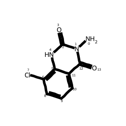 Nn1c(=O)[nH]c2c(Cl)cccc2c1=O